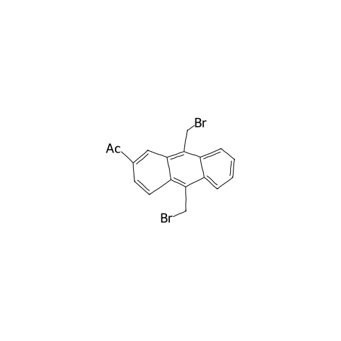 CC(=O)c1ccc2c(CBr)c3ccccc3c(CBr)c2c1